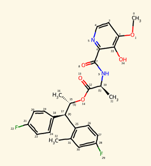 COc1ccnc(C(=O)N[C@@H](C)C(=O)O[C@@H](C)[C@H](c2ccc(F)cc2)c2ccc(F)cc2C)c1O